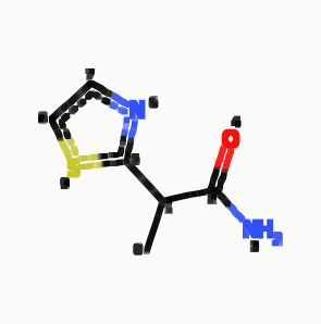 C[C](C(N)=O)c1nccs1